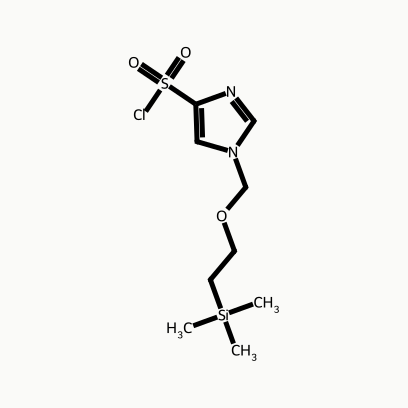 C[Si](C)(C)CCOCn1cnc(S(=O)(=O)Cl)c1